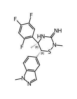 CN1S[C@H](c2ccc3c(cnn3C)c2)[C@@](C)(c2cc(F)c(F)cc2F)NC1=N